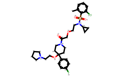 Cc1cccc(Cl)c1S(=O)(=O)N(CCOCC(=O)N1CCC(OCCN2CCCC2)(c2ccc(F)cc2)CC1)C1CC1